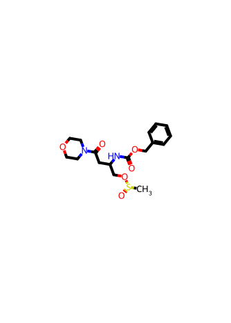 CS(=O)OCC(CC(=O)N1CCOCC1)NC(=O)OCc1ccccc1